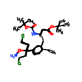 Cc1ccc(C(CCCl)(CCCl)ON)cc1C[C@@H](CC(=O)OC(C)(C)C)NC(=O)OC(C)(C)C